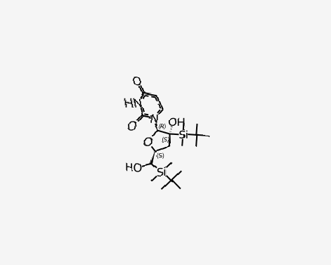 CC(C)(C)[Si](C)(C)C(O)[C@@H]1C[C@](O)([Si](C)(C)C(C)(C)C)[C@H](n2ccc(=O)[nH]c2=O)O1